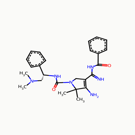 CN(C)C[C@@H](NC(=O)N1CC(C(=N)NC(=O)c2ccccc2)=C(N)C1(C)C)c1ccccc1